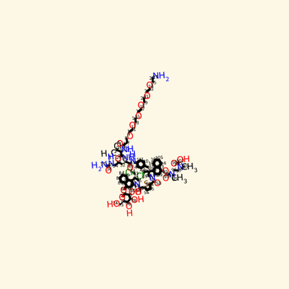 CC(C)[C@H](NC(=O)CCOCCOCCOCCOCCOCCOCCN)C(=O)N[C@@H](CCCNC(N)=O)C(=O)Nc1ccc(C[C@@]2(CCl)CN(C(=O)c3ccc(C(=O)N4C[C@@H](CCl)c5c4cc(O[C@@H]4O[C@H](CO)[C@H](O)[C@H](O)[C@H]4O)c4ccccc54)s3)c3cc(OC(=O)N(C)CCN(C)C(=O)O)c4ccccc4c32)cc1